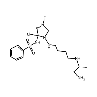 C[C@H](CN)NCCCCNN1CN(F)SC1(Cl)NS(=O)(=O)c1ccccc1